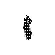 c1cnc2c(-c3ccc4ccc5ccc(-c6c7nccnc7c(-c7ccc8ccc9ccc(-c%10c%11nccnc%11c(-c%11ccc%12ccc%13ccc(-c%14c%15nccnc%15cc%15nccnc%14%15)nc%13c%12n%11)c%11nccnc%10%11)nc9c8n7)c7nccnc67)nc5c4n3)c3nccnc3cc2n1